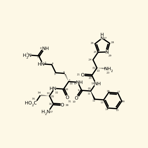 N=C(N)NCCC[C@H](NC(=O)[C@H](Cc1ccccc1)NC(=O)[C@@H](N)Cc1c[nH]cn1)C(=O)N[C@@H](CC(=O)O)C(N)=O